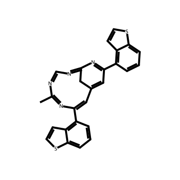 CC1=N/C(c2cccc3sccc23)=C\C2=CC(c3cccc4sccc34)=N\C(=N/C=N\1)C2